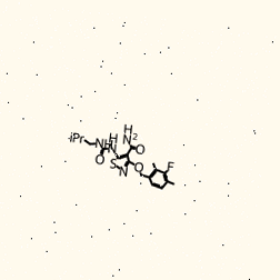 Cc1ccc(COc2nsc(NC(=O)NCC(C)C)c2C(N)=O)c(C)c1F